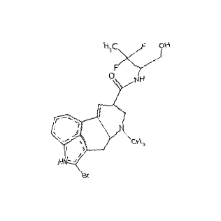 CN1CC(C(=O)NC(CO)C(C)(F)F)C=C2c3cccc4[nH]c(Br)c(c34)CC21